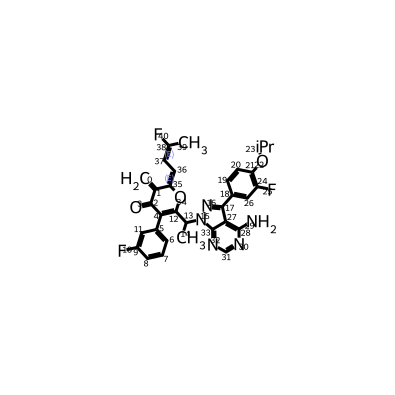 C=c1c(=O)c(-c2cccc(F)c2)c(C(C)n2nc(-c3ccc(OC(C)C)c(F)c3)c3c(N)ncnc32)o/c1=C/C=C(\C)F